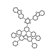 c1ccc(-c2cc3c4cc(-c5ccccc5)c(-c5ccccc5)cc4n(-c4c(-c5ccccc5)cc(-c5nc(-c6ccc7c(c6)oc6ccccc67)nc(-c6ccc7c(c6)oc6ccccc67)n5)cc4-c4ccccc4)c3cc2-c2ccccc2)cc1